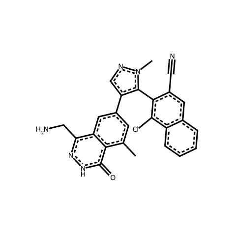 Cc1cc(-c2cnn(C)c2-c2c(C#N)cc3ccccc3c2Cl)cc2c(CN)n[nH]c(=O)c12